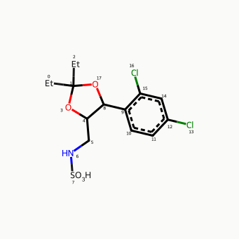 CCC1(CC)OC(CNS(=O)(=O)O)C(c2ccc(Cl)cc2Cl)O1